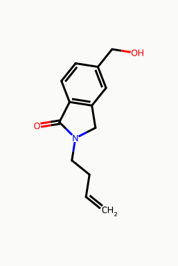 C=CCCN1Cc2cc(CO)ccc2C1=O